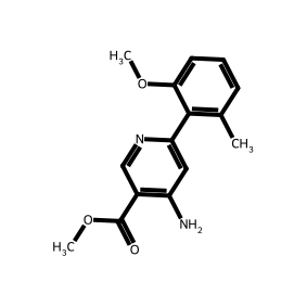 COC(=O)c1cnc(-c2c(C)cccc2OC)cc1N